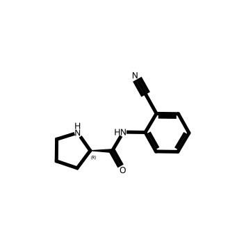 N#Cc1ccccc1NC(=O)[C@H]1CCCN1